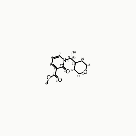 COC(=O)c1cccn([C@H](C)C2CCOCC2)c1=O